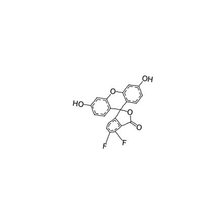 O=C1OC2(c3ccc(O)cc3Oc3cc(O)ccc32)c2ccc(F)c(F)c21